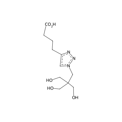 O=C(O)CCCc1cn(CC(CO)(CO)CO)nn1